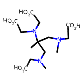 CN(CC(=O)O)CC(C)(CN(C)CC(=O)O)N(CC(=O)O)CC(=O)O